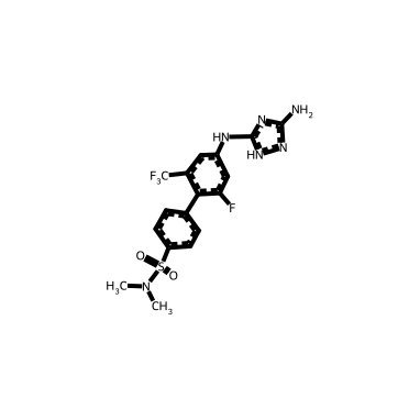 CN(C)S(=O)(=O)c1ccc(-c2c(F)cc(Nc3nc(N)n[nH]3)cc2C(F)(F)F)cc1